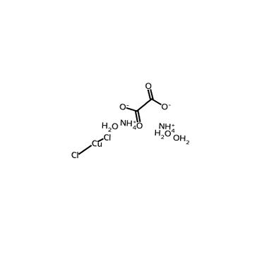 O.O.O.O=C([O-])C(=O)[O-].[Cl][Cu][Cl].[NH4+].[NH4+]